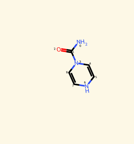 NC(=O)N1C=CNC=C1